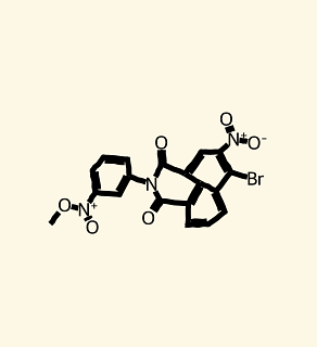 CO[N+](=O)c1cccc(N2C(=O)c3cccc4c(Br)c([N+](=O)[O-])cc(c34)C2=O)c1